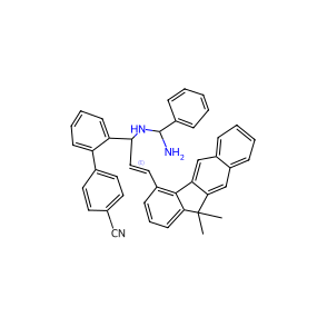 CC1(C)c2cc3ccccc3cc2-c2c(/C=C/C(NC(N)c3ccccc3)c3ccccc3-c3ccc(C#N)cc3)cccc21